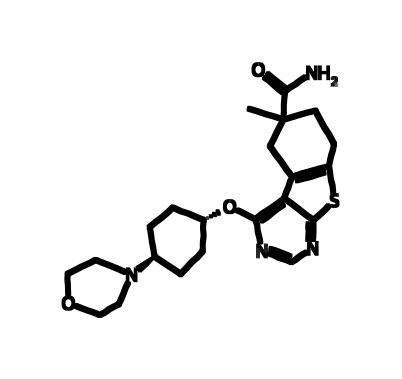 CC1(C(N)=O)CCc2sc3ncnc(O[C@H]4CC[C@H](N5CCOCC5)CC4)c3c2C1